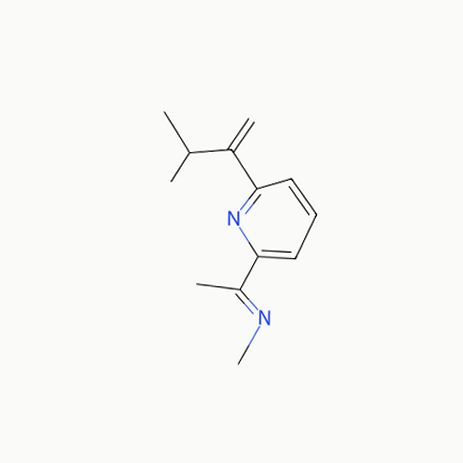 C=C(c1cccc(/C(C)=N/C)n1)C(C)C